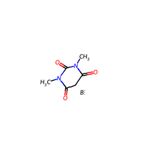 CN1C(=O)CC(=O)N(C)C1=O.[B]